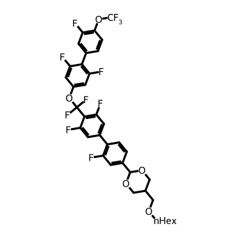 CCCCCCOCC1COC(c2ccc(-c3cc(F)c(C(F)(F)Oc4cc(F)c(-c5ccc(OC(F)(F)F)c(F)c5)c(F)c4)c(F)c3)c(F)c2)OC1